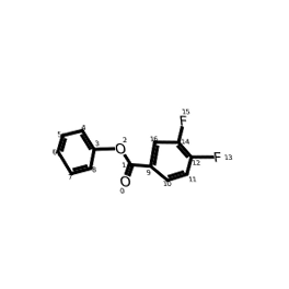 O=C(Oc1cc[c]cc1)c1ccc(F)c(F)c1